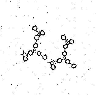 Cc1c(C)n(-c2ccc(N(c3ccc(-c4ccccc4)cc3)c3ccc(-c4ccc5c(c4)c4ccccc4n5-c4ccccc4)cc3)cc2)c2ccccc12.Cc1c(C)n(-c2ccc(N(c3ccc(-c4ccccc4)cc3)c3ccc(-c4ccc5c(c4)c4ccccc4n5-c4ccccc4)cc3)cc2)c2ccccc12